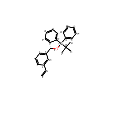 C=Cc1cccc(CO[Si](c2ccccc2)(c2ccccc2)C(C)(C)C)c1